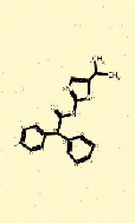 CC(C)c1cnc(NC(=O)C(c2ccccc2)c2ccccc2)s1